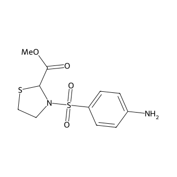 COC(=O)C1SCCN1S(=O)(=O)c1ccc(N)cc1